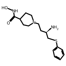 N[C@H](CCN1CCC(C(=O)NO)CC1)CSc1ccccc1